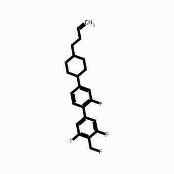 C=CCCC1CCC(c2ccc(-c3cc(F)c(CF)c(F)c3)c(F)c2)CC1